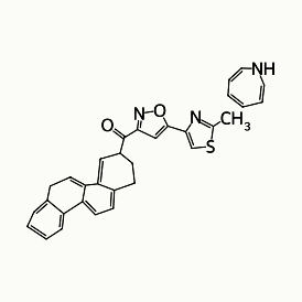 C1=CC=CNC=C1.Cc1nc(-c2cc(C(=O)C3C=c4c(ccc5c4=CCc4ccccc4-5)CC3)no2)cs1